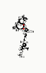 CC[C@H]1OC(=O)[C@H](C)[C@@H](O[C@H]2C[C@@](C)(OC)[C@@H](OC(=O)CCOCCNc3cc4c(=O)c(C(=O)OCOC(=O)C(C)(C)C)cn(C5CC5)c4cc3Cl)[C@H](C)O2)[C@H](C)[C@H]2OC3O[C@H](C)C[C@H](N(C)C)[C@H]3OC(=O)C(C)[C@@H](CN(C)[C@H](C)[C@@H](O)[C@]1(C)O)C[C@@]2(C)O